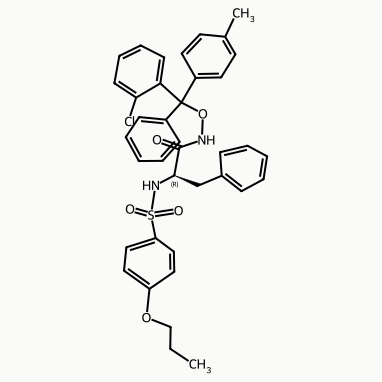 CCCOc1ccc(S(=O)(=O)N[C@H](Cc2ccccc2)C(=O)NOC(c2ccccc2)(c2ccc(C)cc2)c2ccccc2Cl)cc1